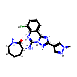 Cn1cc(-c2nc3c4cccc(F)c4nc(N[C@@H]4CCCCNC4=O)n3n2)cn1